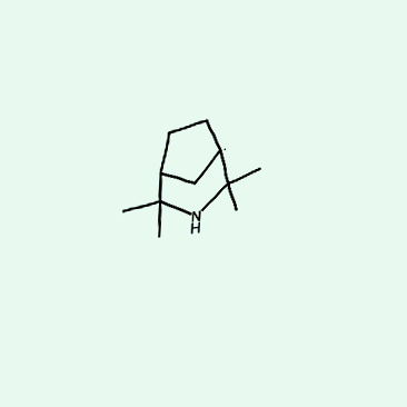 CC1(C)NC(C)(C)C2CC[C]1C2